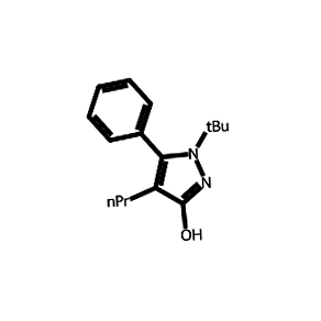 CCCc1c(O)nn(C(C)(C)C)c1-c1ccccc1